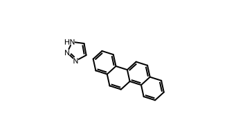 c1c[nH]nn1.c1ccc2c(c1)ccc1c3ccccc3ccc21